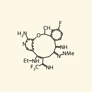 CCN/C1=C(\C(=N)C(F)(F)F)C/C(=N/NC)C(=N)c2ccc(F)cc2C(C)Oc2cc1cnc2N